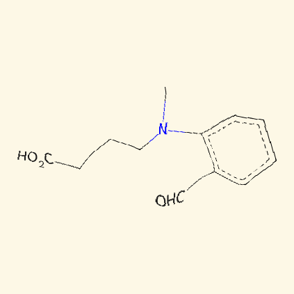 CN(CCCC(=O)O)c1ccccc1C=O